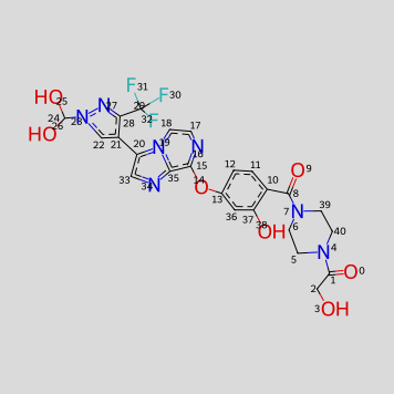 O=C(CO)N1CCN(C(=O)c2ccc(Oc3nccn4c(-c5cn(C(O)O)nc5C(F)(F)F)cnc34)cc2O)CC1